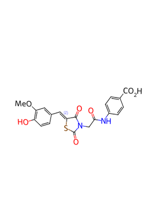 COc1cc(/C=C2\SC(=O)N(CC(=O)Nc3ccc(C(=O)O)cc3)C2=O)ccc1O